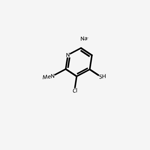 CNc1nccc(S)c1Cl.[Na]